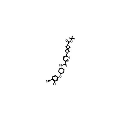 CC(C)(C)OC(=O)N1CC2(C1)CN(c1ccc(C(=O)N[C@H]3CC[C@H](Oc4ccc(C#N)c(Cl)c4)CC3)nn1)C2